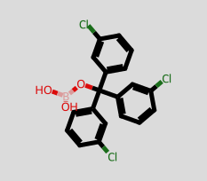 OB(O)OC(c1cccc(Cl)c1)(c1cccc(Cl)c1)c1cccc(Cl)c1